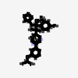 C=C(/C=C\C(=C/N)c1cccc(OC(F)F)c1)C(F)(F)C(O)(Cn1cnnn1)c1ccc(F)cc1F